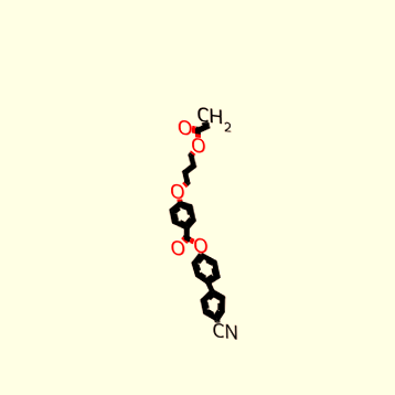 C=CC(=O)OCCCCOc1ccc(C(=O)Oc2ccc(-c3ccc(C#N)cc3)cc2)cc1